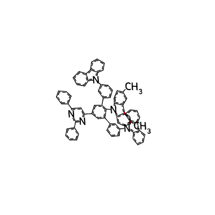 Cc1ccc2c(c1)c1cc(C)ccc1n2-c1c(-c2cccc(-n3c4ccccc4c4ccccc43)c2)cc(-c2cc(-c3ccccc3)nc(-c3ccccc3)n2)cc1-c1cccc(-n2c3ccccc3c3ccccc32)c1